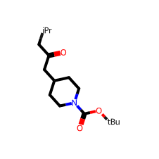 CC(C)CC(=O)CC1CCN(C(=O)OC(C)(C)C)CC1